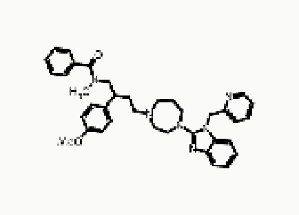 COc1ccc(C(CCN2CCCN(c3nc4ccccc4n3Cc3ccccn3)CC2)CN(C)C(=O)c2ccccc2)cc1